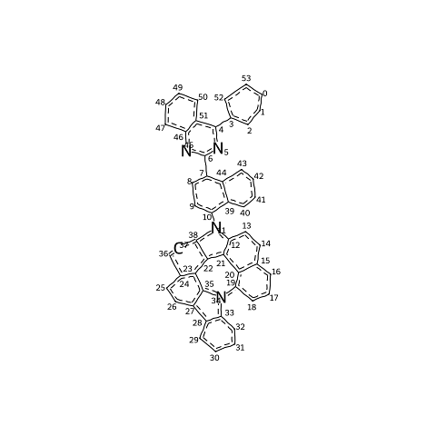 c1ccc(-c2nc(-c3ccc(-n4c5ccc6cccc7c6c5c5c6c(ccc8c9ccccc9n7c86)ccc54)c4ccccc34)nc3ccccc23)cc1